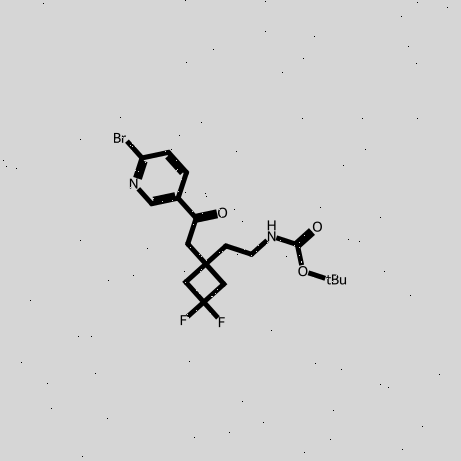 CC(C)(C)OC(=O)NCCC1(CC(=O)c2ccc(Br)nc2)CC(F)(F)C1